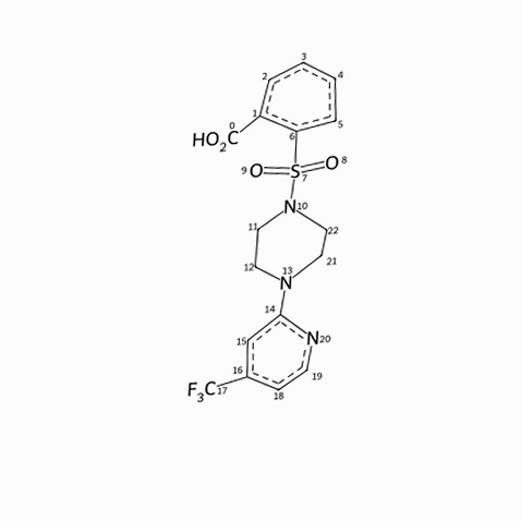 O=C(O)c1ccccc1S(=O)(=O)N1CCN(c2cc(C(F)(F)F)ccn2)CC1